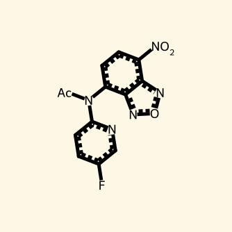 CC(=O)N(c1ccc(F)cn1)c1ccc([N+](=O)[O-])c2nonc12